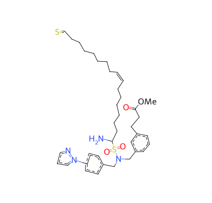 COC(=O)CCc1cccc(CN(Cc2ccc(-n3cccn3)cc2)S(=O)(=O)C(N)CCCCCC/C=C\CCCCCCCC=S)c1